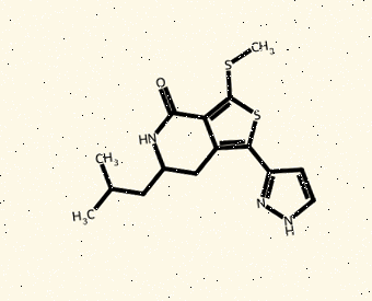 CSc1sc(-c2cc[nH]n2)c2c1C(=O)NC(CC(C)C)C2